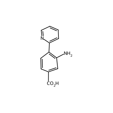 Nc1cc(C(=O)O)ccc1-c1ccccn1